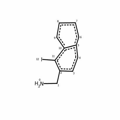 NCc1ccc2ccccc2c1I